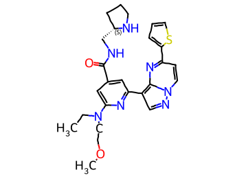 CCN(CCOC)c1cc(C(=O)NC[C@@H]2CCCN2)cc(-c2cnn3ccc(-c4cccs4)nc23)n1